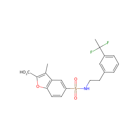 Cc1c(C(=O)O)oc2ccc(S(=O)(=O)NCCc3cccc(C(C)(F)F)c3)cc12